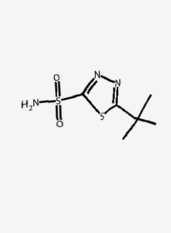 CC(C)(C)c1nnc(S(N)(=O)=O)s1